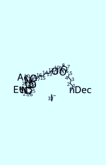 CCCCCCCCCCCCCCC[C@H]1CC[C@@H](COCCCCCCOC(=O)N(Cc2cccc[n+]2CC)C(C)=O)O1.[I-]